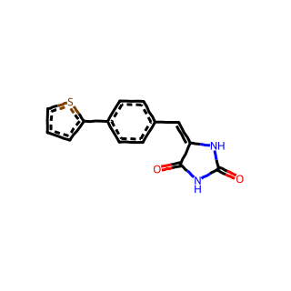 O=C1NC(=O)/C(=C\c2ccc(-c3cccs3)cc2)N1